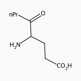 CCCC(=O)C(N)CCC(=O)O